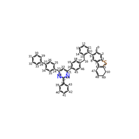 Cc1cc2sc3c(c2cc1-c1ccccc1Cc1ccc(-c2cc(-c4ccc(-c5ccccc5)cc4)nc(-c4ccccc4)n2)cc1)C=CCC3